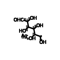 O=CC(O)C(O)C(O)C(O)CO.[Ag]